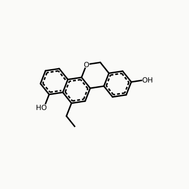 CCc1cc2c(c3cccc(O)c13)OCc1cc(O)ccc1-2